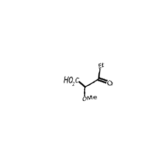 CCC(=O)C(OC)C(=O)O